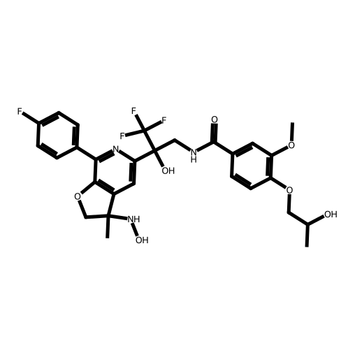 COc1cc(C(=O)NCC(O)(c2cc3c(c(-c4ccc(F)cc4)n2)OCC3(C)NO)C(F)(F)F)ccc1OCC(C)O